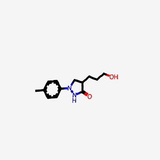 Cc1ccc(N2CC(CCCO)C(=O)N2)cc1